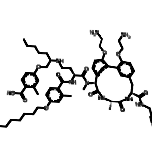 CCCCCCCOc1ccc(C(=O)N[C@@H](CCNC(CCCCC)COc2ccc(C(=O)O)c(C)c2)C(=O)N(C)[C@@H]2C(=O)N[C@@H](C)C(=O)N[C@H](C(=O)NCC#N)Cc3ccc(OCCN)c(c3)-c3cc2ccc3OCCN)c(C)c1